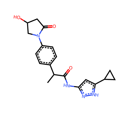 CC(C(=O)Nc1cc(C2CC2)[nH]n1)c1ccc(N2CC(O)CC2=O)cc1